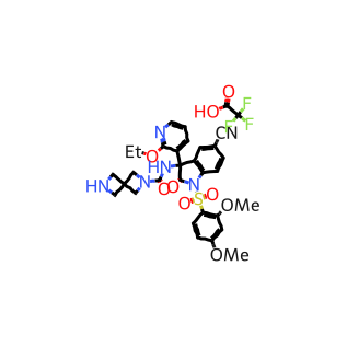 CCOc1ncccc1C1(NC(=O)N2CC3(CNC3)C2)C(=O)N(S(=O)(=O)c2ccc(OC)cc2OC)c2ccc(C#N)cc21.O=C(O)C(F)(F)F